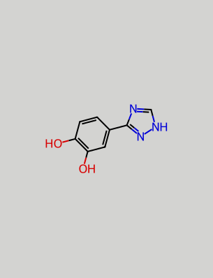 Oc1ccc(-c2nc[nH]n2)cc1O